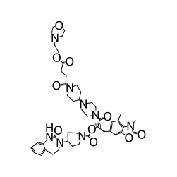 Cc1cc(C[C@@H](OC(=O)N2CCC(N3CCc4ccccc4NC3=O)CC2)C(=O)N2CCN(C3CCN(C(=O)CCC(=O)OCCN4CCOCC4)CC3)CC2)cc2oc(=O)n(C)c12